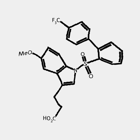 COc1ccc2c(c1)c(CCC(=O)O)cn2S(=O)(=O)c1ccccc1-c1ccc(C(F)(F)F)cc1